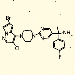 CC(N)(c1ccc(F)cc1)c1cnc(N2CCN(c3c(Cl)cnn4cc(Br)cc34)CC2)nc1